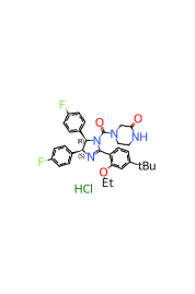 CCOc1cc(C(C)(C)C)ccc1C1=N[C@@H](c2ccc(F)cc2)[C@@H](c2ccc(F)cc2)N1C(=O)N1CCNC(=O)C1.Cl